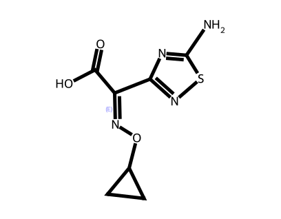 Nc1nc(/C(=N\OC2CC2)C(=O)O)ns1